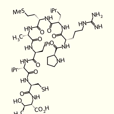 CSCC[C@H](NC(=O)[C@H](CC(C)C)NC(=O)[C@H](CCCNC(=N)N)NC(=O)[C@@H]1CCCN1)C(=O)N[C@@H](C)C(=O)N[C@@H](CC(C)C)C(=O)N[C@H](C(=O)N[C@@H](CS)C(=O)N[C@H](C(=O)O)[C@@H](C)O)C(C)C